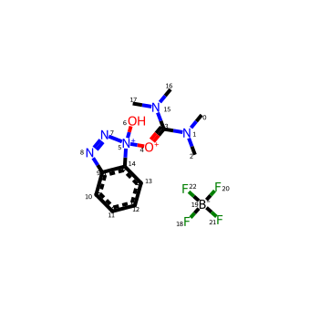 CN(C)C(=[O+][N+]1(O)N=Nc2ccccc21)N(C)C.F[B-](F)(F)F